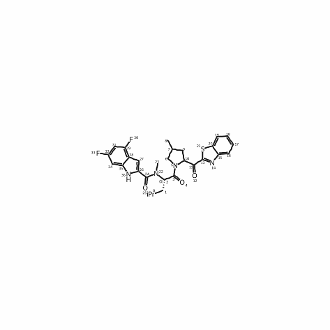 CC(C)C[C@@H](C(=O)N1CC(C)CC1C(=O)c1nc2ccccc2s1)N(C)C(=O)c1cc2c(F)cc(F)cc2[nH]1